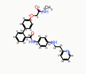 CNC(=O)COc1ccc(-c2ccccc2C(=O)Nc2ccc(NCCc3ccccn3)cc2)cc1